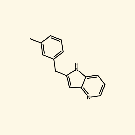 Cc1cccc(Cc2cc3ncccc3[nH]2)c1